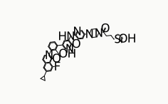 Cn1cc(-c2cccc(-n3ccc4cc(C5CC5)cc(F)c4c3=O)c2CO)cc(Nc2ccc(N3CCN(C(=O)CCC[Si](C)(C)O)CC3)cn2)c1=O